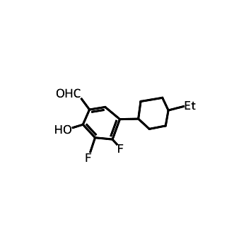 CCC1CCC(c2cc(C=O)c(O)c(F)c2F)CC1